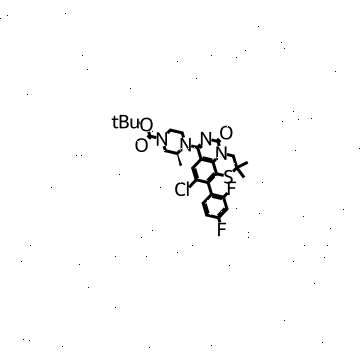 C[C@H]1CN(C(=O)OC(C)(C)C)CCN1c1nc(=O)n2c3c(c(-c4ccc(F)cc4F)c(Cl)cc13)SC(C)(C)C2